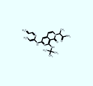 C=C/C=N\C(=C/N)Nc1cc2ccn(C(C)C(N)=O)c(=O)c2c(NC(C)(C)C)n1